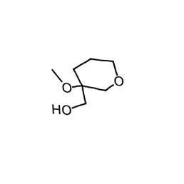 COC1(CO)CCCOC1